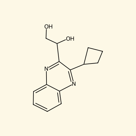 OCC(O)c1nc2ccccc2nc1C1CCC1